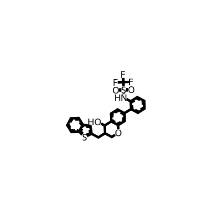 O=S(=O)(Nc1ccccc1-c1ccc2c(c1)OCC(Cc1cc3ccccc3s1)C2O)C(F)(F)F